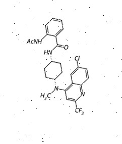 CC(=O)Nc1ccccc1C(=O)N[C@H]1CC[C@@H](N(C)c2cc(C(F)(F)F)nc3ccc(Cl)cc23)CC1